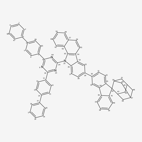 c1ccc(-c2ccc(-c3nc(-c4ccc(-c5ccccc5)cc4)nc(-n4c5ccc(-c6ccc7c(c6)-c6ccccc6C76C7CC8CC(C7)CC6C8)cc5c5ccc6ccccc6c54)n3)cc2)cc1